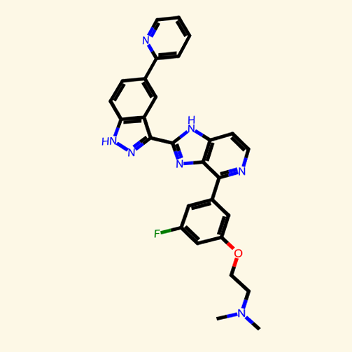 CN(C)CCOc1cc(F)cc(-c2nccc3[nH]c(-c4n[nH]c5ccc(-c6ccccn6)cc45)nc23)c1